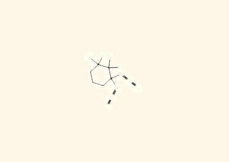 O=C=NC1(N=C=O)CCCC(F)(F)C1(F)F